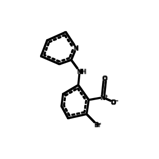 O=[N+]([O-])c1c(Br)cccc1Nc1ccccn1